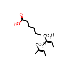 CC=C(C)C(=O)O.CC=C(C)C(=O)O.CCCCCC(=O)O